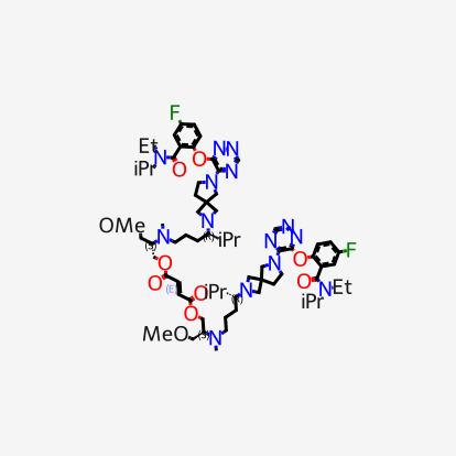 CCN(C(=O)c1cc(F)ccc1Oc1nncnc1N1CCC2(C1)CN([C@H](CCCN(C)[C@@H](COC)COC(=O)/C=C/C(=O)OC[C@H](COC)N(C)CCC[C@H](C(C)C)N1CC3(CCN(c4ncnnc4Oc4ccc(F)cc4C(=O)N(CC)C(C)C)C3)C1)C(C)C)C2)C(C)C